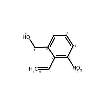 C=Cc1c(CO)cccc1[N+](=O)[O-]